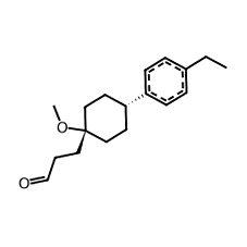 CCc1ccc([C@H]2CC[C@@](CCC=O)(OC)CC2)cc1